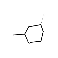 CC1C[C@H](C)CCS1